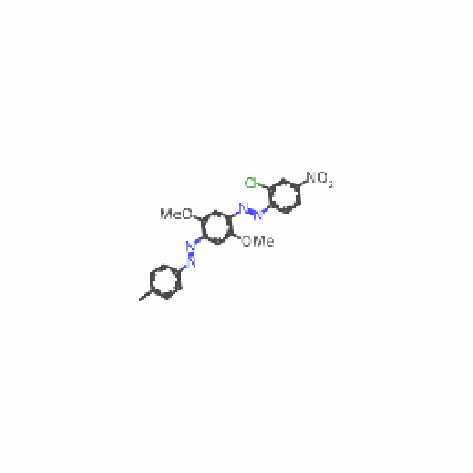 COc1cc(N=Nc2ccc([N+](=O)[O-])cc2Cl)c(OC)cc1N=Nc1ccc(C)cc1